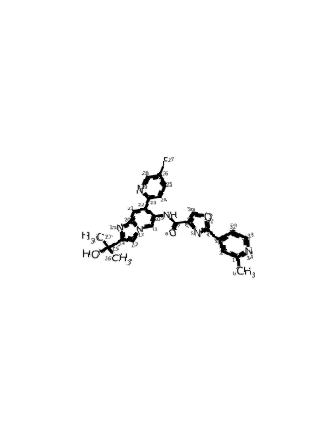 Cc1cc(-c2nc(C(=O)Nc3cn4cc(C(C)(C)O)nc4cc3-c3ccc(F)cn3)co2)ccn1